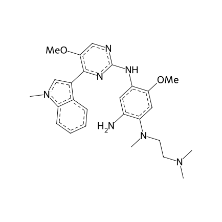 COc1cc(N(C)CCN(C)C)c(N)cc1Nc1ncc(OC)c(-c2cn(C)c3ccccc23)n1